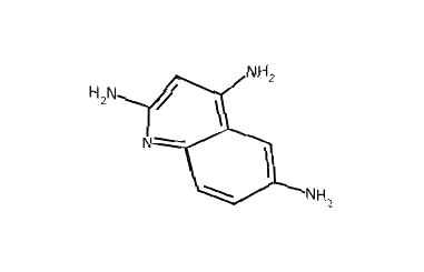 Nc1ccc2nc(N)cc(N)c2c1